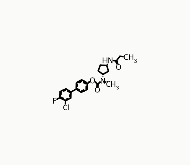 CCC(=O)N[C@H]1CC[C@@H](N(C)C(=O)Oc2ccc(-c3ccc(F)c(Cl)c3)cc2)C1